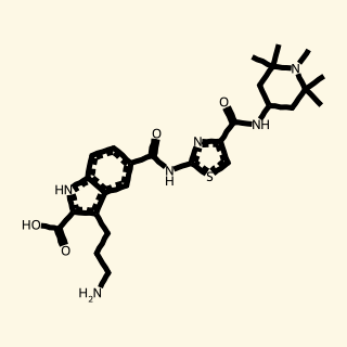 CN1C(C)(C)CC(NC(=O)c2csc(NC(=O)c3ccc4[nH]c(C(=O)O)c(CCCN)c4c3)n2)CC1(C)C